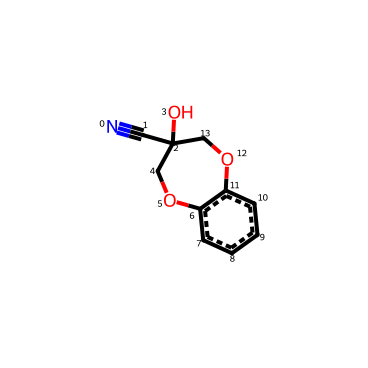 N#CC1(O)COc2ccccc2OC1